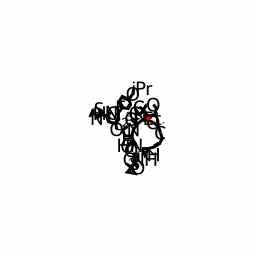 CC[C@@H]1O[C@H](C)CC/C=C\[C@@H]2C[C@@]2(C(=O)NS(=O)(=O)C2(C)CC2)NC(=O)[C@@H]2C[C@@H](Oc3cc(-c4ccc(OC(C)C)cc4)nc(-c4nccs4)c3)CN2C(=O)[C@H]1N(C(=O)O)C1(C(F)(F)F)CCCOC1